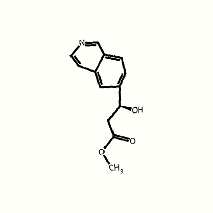 COC(=O)C[C@H](O)c1ccc2cnccc2c1